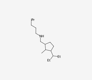 CCC(CC)C1CCC(CNCCCC(C)C)C1C